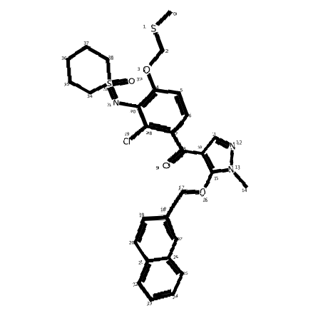 CSCOc1ccc(C(=O)c2cnn(C)c2OCc2ccc3ccccc3c2)c(Cl)c1N=S1(=O)CCCCC1